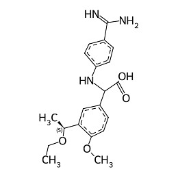 CCO[C@@H](C)c1cc(C(Nc2ccc(C(=N)N)cc2)C(=O)O)ccc1OC